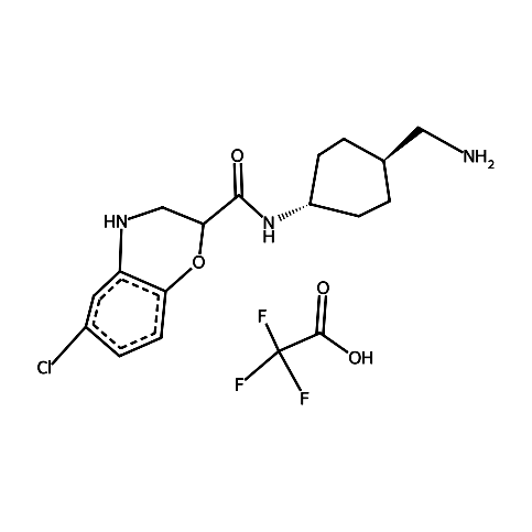 NC[C@H]1CC[C@H](NC(=O)C2CNc3cc(Cl)ccc3O2)CC1.O=C(O)C(F)(F)F